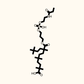 CCC(=O)NCCOP(=O)(O)OCCCOC(=O)C(C)(CCC(C)(C)C)CCC(C)(C)CCC(C)(C)C(=O)O